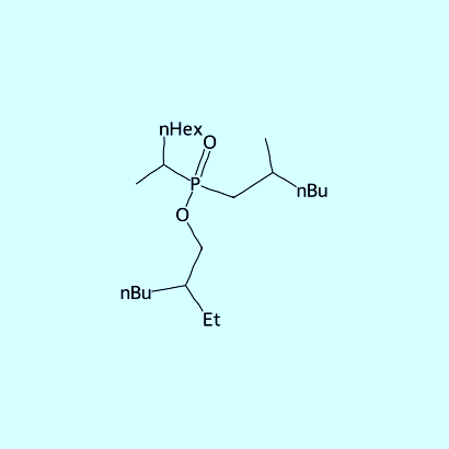 CCCCCCC(C)P(=O)(CC(C)CCCC)OCC(CC)CCCC